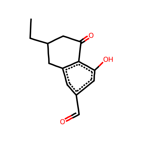 CCC1CC(=O)c2c(O)cc(C=O)cc2C1